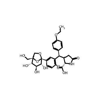 CCOc1ccc(C(c2cc([C@]34OC[C@](CO)(O3)[C@@H](O)[C@H](O)[C@H]4O)ccc2Cl)C2CC(=O)N[C@@H]2C(=O)O)cc1